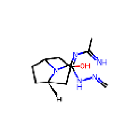 C=NN/C(=N\C(C)=N)N1C2CC[C@H]1CC(O)C2